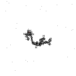 Cc1ncsc1-c1ccc([C@H](C)NC(=O)[C@@H]2C[C@@H](O)CN2C(=O)[C@@H](NC(=O)CCOCCOCCN2CCN(CCNc3ccc(S(=O)(=O)NC(=O)c4ccc(N5CCN(CC6=C(c7ccc(Cl)cc7)CC(C)(C)CC6)CC5)cc4N4CCCOc5nc6[nH]ccc6cc54)cc3[N+](=O)[O-])CC2)C(C)(C)C)cc1